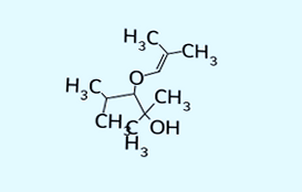 CC(C)=COC(C(C)C)C(C)(C)O